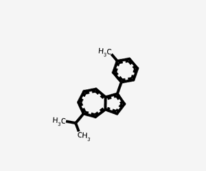 Cc1cccc(-c2ccc3cc(C(C)C)cccc2-3)c1